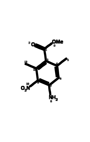 COC(=O)c1c(C)cc(N)c([N+](=O)[O-])c1C